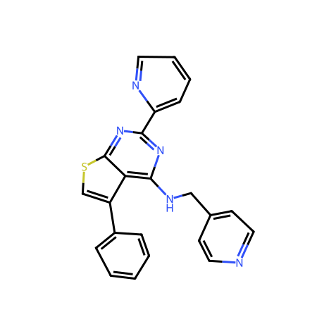 c1ccc(-c2csc3nc(-c4ccccn4)nc(NCc4ccncc4)c23)cc1